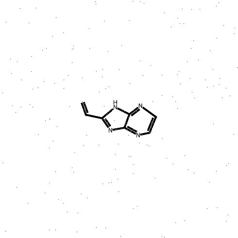 C=Cc1nc2nccnc2[nH]1